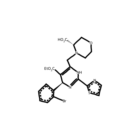 CCOC(=O)C1=C(CN2CCOC[C@H]2C(=O)O)NC(c2nccs2)=N[C@H]1c1ccccc1Br